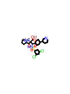 C[C@@](C(=O)O)(C(=O)C1CCCN1)[C@H](NS(=O)(=O)c1cc(Cl)cc(Cl)c1)c1ccc(-c2cccnc2)cc1